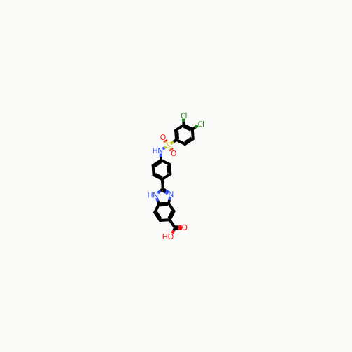 O=C(O)c1ccc2[nH]c(-c3ccc(NS(=O)(=O)c4ccc(Cl)c(Cl)c4)cc3)nc2c1